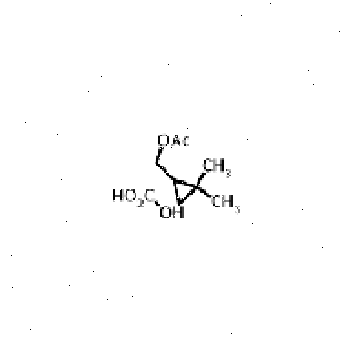 CC(=O)OCC1CC1(C)C.O=C(O)O